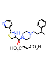 CC(CCN1CCN(C(=O)C2CSC(c3cccnc3)N2)CC1)c1ccccc1.O=C(O)C=CC(=O)O